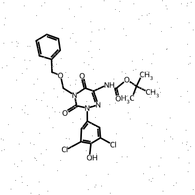 CC(C)(C)OC(=O)Nc1nn(-c2cc(Cl)c(O)c(Cl)c2)c(=O)n(COCc2ccccc2)c1=O